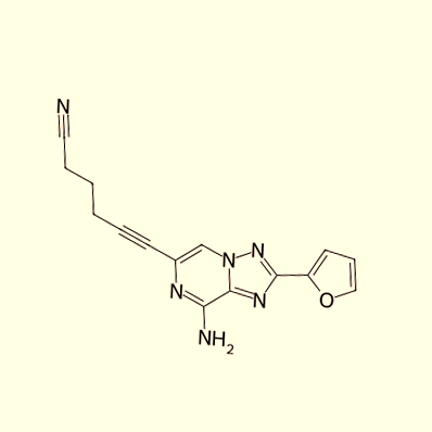 N#CCCCC#Cc1cn2nc(-c3ccco3)nc2c(N)n1